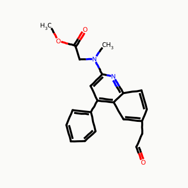 COC(=O)CN(C)c1cc(-c2ccccc2)c2cc(CC=O)ccc2n1